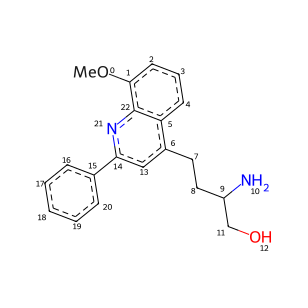 COc1cccc2c(CCC(N)CO)cc(-c3ccccc3)nc12